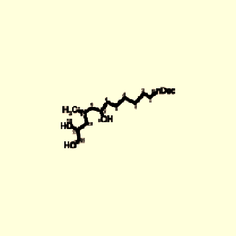 CCCCCCCCCCCCCCCCC(O)CN(C)CC(O)CO